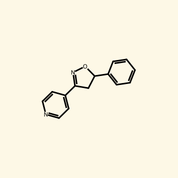 c1ccc(C2CC(c3ccncc3)=NO2)cc1